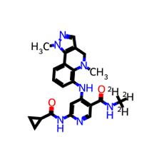 [2H]C([2H])([2H])NC(=O)c1cnc(NC(=O)C2CC2)cc1Nc1cccc2c1N(C)Cc1cnn(C)c1-2